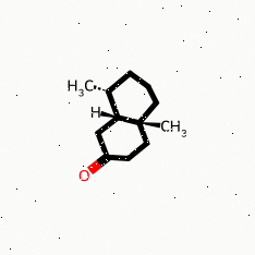 C[C@@H]1CCC[C@]2(C)CCC(=O)C[C@H]12